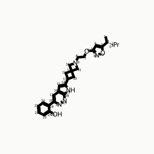 CC(C)[C@@H](C)c1cc(OCCN2CC3(CC(c4cc5cc(-c6ccccc6O)nnc5[nH]4)C3)C2)no1